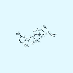 Cc1ccc(O)cc1CC[C@H]1C2CCC(C(C)CCCC(C)C)C2(C)CC[C@H]1O